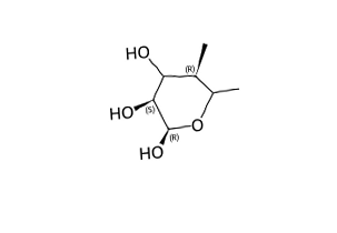 CC1O[C@@H](O)[C@@H](O)C(O)[C@H]1C